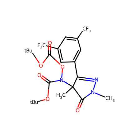 CN1N=C(c2cc(C(F)(F)F)cc(C(F)(F)F)c2)C(C)(N(OC(=O)OC(C)(C)C)C(=O)OC(C)(C)C)C1=O